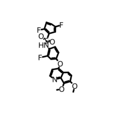 COc1ccc2c(Oc3ccc(NS(=O)(=O)c4cc(F)ccc4F)c(F)c3)ccnc2c1OC